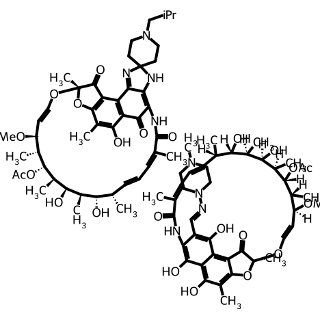 CO[C@H]1/C=C/O[C@@]2(C)Oc3c(C)c(O)c4c(O)c(c(/C=N/N5CCN(C)CC5)c(O)c4c3C2=O)NC(=O)/C(C)=C\C=C\[C@H](C)[C@H](O)[C@@H](C)[C@@H](O)[C@@H](C)[C@H](OC(C)=O)[C@@H]1C.CO[C@H]1/C=C/O[C@@]2(C)Oc3c(C)c(O)c4c(c3C2=O)C2=NC3(CCN(CC(C)C)CC3)NC2=C(NC(=O)/C(C)=C\C=C\[C@H](C)[C@H](O)[C@@H](C)[C@@H](O)[C@@H](C)[C@H](OC(C)=O)[C@@H]1C)C4=O